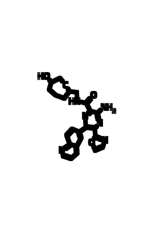 Nc1nc(-c2ncco2)c(-c2ccc3ncccc3c2)nc1C(=O)NCC1CCCC(O)CC1